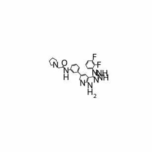 Nc1ncc(-c2cccc(NC(=O)CN3CCCC3)c2)cc1C1=NNNN1c1cccc(F)c1F